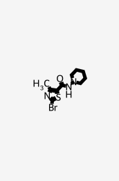 Cc1nc(Br)sc1C(=O)NN1CCCCC1